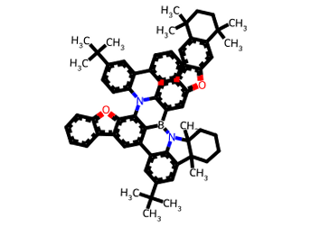 CC(C)(C)c1ccc(N2c3cc4c(cc3B3c5c(cc6c(oc7ccccc76)c52)-c2cc(C(C)(C)C)cc5c2N3C2(C)CCCCC52C)oc2cc3c(cc24)C(C)(C)CCC3(C)C)c(-c2ccccc2)c1